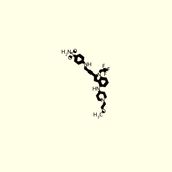 COCCN1CCC(Nc2cccc3c2cc(C#CCNc2ccc(S(N)(=O)=O)cc2)n3CC(F)(F)F)CC1